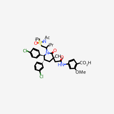 COc1cc(NC(=O)C[C@@]2(C)C[C@H](c3cccc(Cl)c3)[C@@H](c3ccc(Cl)cc3)N(C(CS(=O)(=NC(C)=O)C(C)C)C(C)C)C2=O)ccc1C(=O)O